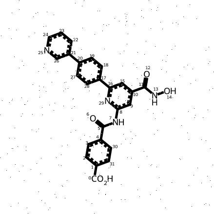 O=C(O)c1ccc(C(=O)Nc2cc(C(=O)NO)cc(-c3ccc(-c4cccnc4)cc3)n2)cc1